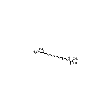 C=C(C)C(=O)NCCCCCCCCCCCCCCCN(C)C